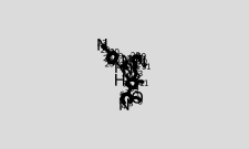 COc1cnccc1-c1cc(C)c(Sc2nc(Nc3ccc(C#N)cc3)nc3ccn(C)c23)c(C)c1